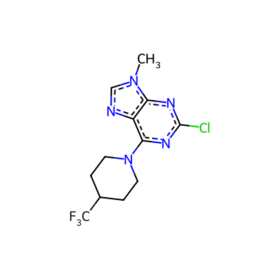 Cn1cnc2c(N3CCC(C(F)(F)F)CC3)nc(Cl)nc21